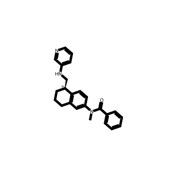 CN(C(=O)c1ccccc1)c1ccc2c(c1)CCC[C@H]2CNc1cccnc1